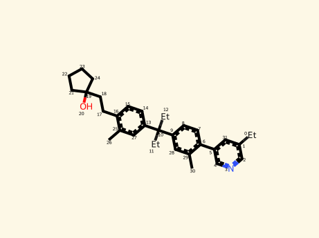 CCc1cncc(-c2ccc(C(CC)(CC)c3ccc(CCC4(O)CCCC4)c(C)c3)cc2C)c1